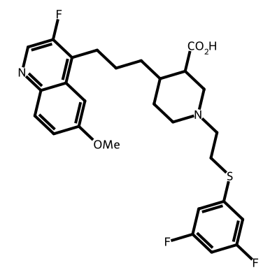 COc1ccc2ncc(F)c(CCCC3CCN(CCSc4cc(F)cc(F)c4)CC3C(=O)O)c2c1